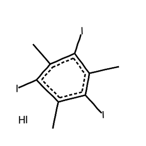 Cc1c(I)c(C)c(I)c(C)c1I.I